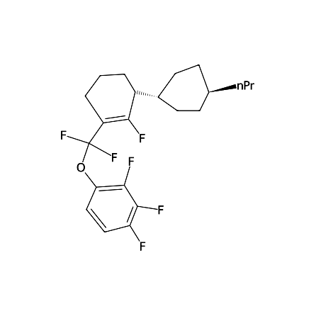 CCC[C@H]1CC[C@H](C2CCCC(C(F)(F)Oc3ccc(F)c(F)c3F)=C2F)CC1